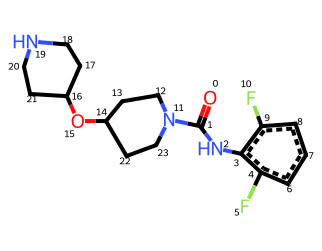 O=C(Nc1c(F)cccc1F)N1CCC(OC2CCNCC2)CC1